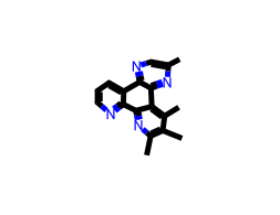 Cc1cnc2c3cccnc3c3nc(C)c(C)c(C)c3c2n1